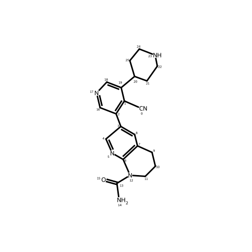 N#Cc1c(-c2cnc3c(c2)CCCN3C(N)=O)cncc1C1CCNCC1